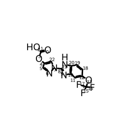 O=C(O)Oc1cnn(-c2nc3cc(OC(F)(F)F)ccc3[nH]2)c1